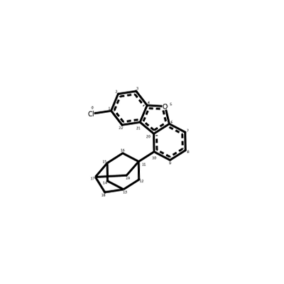 Clc1ccc2oc3cccc(C45CC6CC(C4)C(C6)C5)c3c2c1